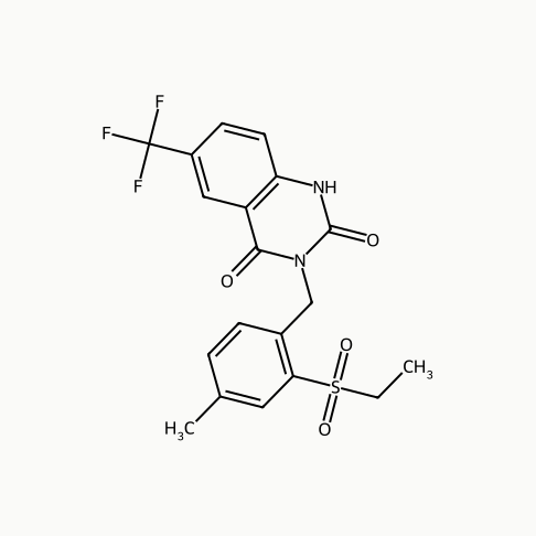 CCS(=O)(=O)c1cc(C)ccc1Cn1c(=O)[nH]c2ccc(C(F)(F)F)cc2c1=O